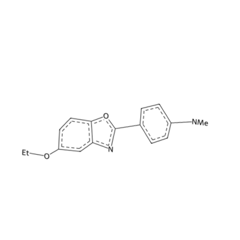 CCOc1ccc2oc(-c3ccc(NC)cc3)nc2c1